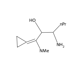 CCCC(N)C(O)C(NC)=C1CC1